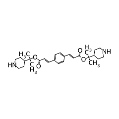 CC(C)(OC(=O)/C=C/c1ccc(/C=C/C(=O)OC(C)(C)C2CCNCC2)cc1)C1CCNCC1